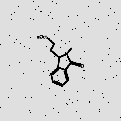 CCCCCCCCCCC1c2ccccc2C(=O)N1C